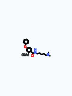 COc1cc(Oc2ccccc2)ccc1C(=O)NCCCCCN(C)C